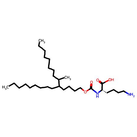 CCCCCCCCCC(CCCCOC(=O)N[C@@H](CCCCN)C(=O)O)C(C)CCCCCCCC